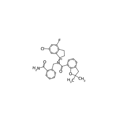 CC1(C)Cc2cccc(C(=O)N(Cc3ccccc3C(N)=O)[C@@H]3CCc4c(F)cc(Cl)cc43)c2O1